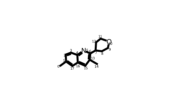 Cc1ccc2nc(C3CCOCC3)c(C)cc2c1